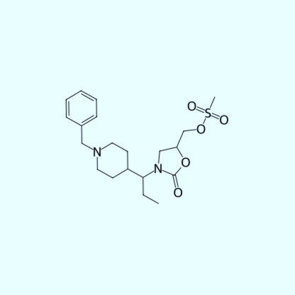 CCC(C1CCN(Cc2ccccc2)CC1)N1CC(COS(C)(=O)=O)OC1=O